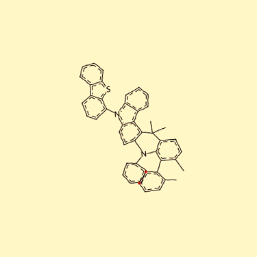 Cc1ccccc1-c1c(C)ccc2c1N(c1ccccc1)c1ccc3c(c1C2(C)C)c1ccccc1n3-c1cccc2c1sc1ccccc12